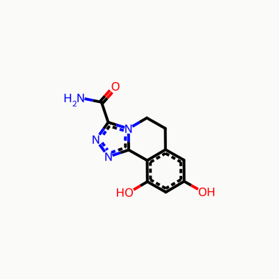 NC(=O)c1nnc2n1CCc1cc(O)cc(O)c1-2